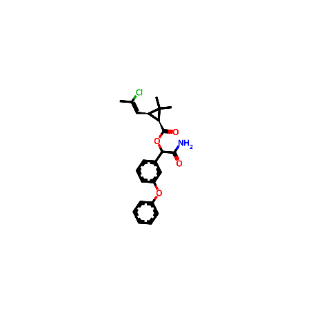 C/C(Cl)=C/[C@@H]1[C@H](C(=O)OC(C(N)=O)c2cccc(Oc3ccccc3)c2)C1(C)C